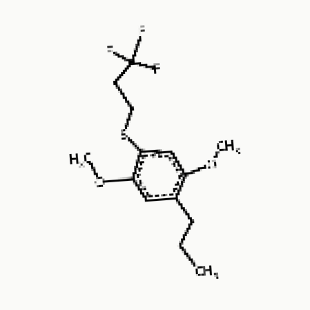 CCCc1cc(OC)c(SCCC(F)(F)F)cc1OC